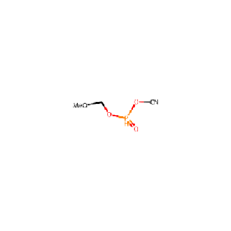 COCO[PH](=O)OC#N